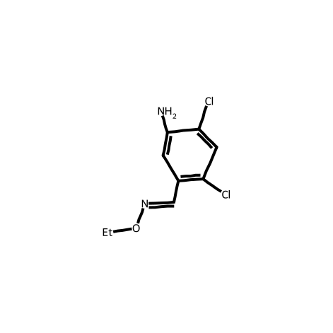 CCON=Cc1cc(N)c(Cl)cc1Cl